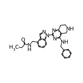 CCC(=O)NCc1cccc2c1cnn2-c1nc2c(c(NCc3ccccc3)n1)CNCC2